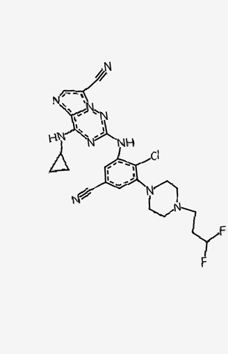 N#Cc1cc(Nc2nc(NC3CC3)c3ncc(C#N)n3n2)c(Cl)c(N2CCN(CCC(F)F)CC2)c1